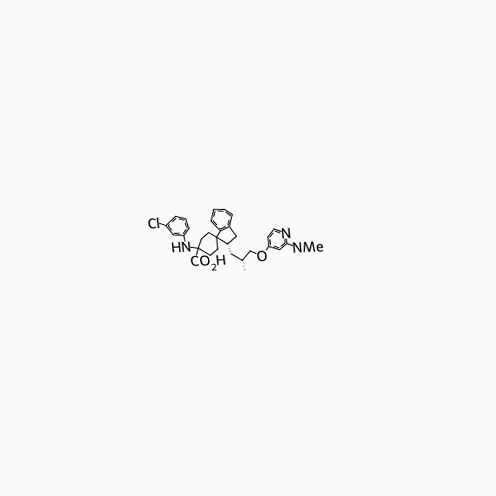 CNc1cc(OC[C@H](C)C[C@H]2Cc3ccccc3C23CCC(Nc2cccc(Cl)c2)(C(=O)O)CC3)ccn1